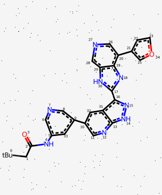 CC(C)(C)CC(=O)Nc1cncc(-c2cnc3[nH]nc(-c4nc5c(-c6ccoc6)cncc5[nH]4)c3c2)c1